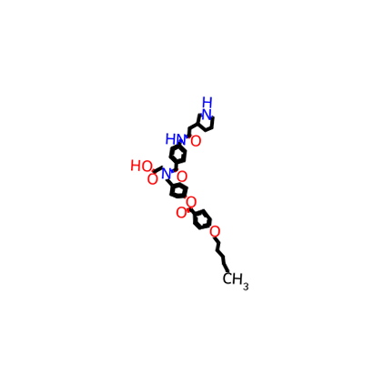 CCCCCCCOc1ccc(C(=O)Oc2ccc(CN(CC(=O)O)C(=O)c3ccc(NC(=O)CC4CCCNC4)cc3)cc2)cc1